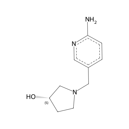 Nc1ccc(CN2CC[C@H](O)C2)cn1